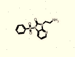 NCCn1c(=O)n(S(=O)(=O)c2ccccc2)c2cccnc21